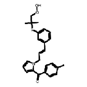 Cc1ccc(C(=O)c2cccn2C/C=C/c2cccc(SC(C)(C)COO)c2)cc1